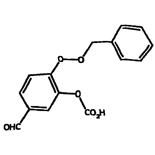 O=Cc1ccc(OOCc2ccccc2)c(OC(=O)O)c1